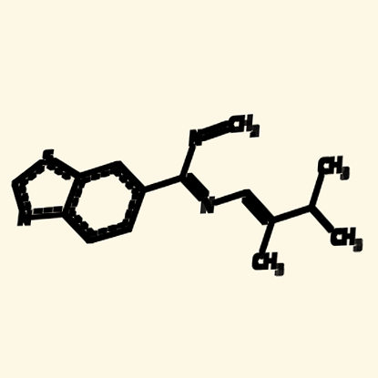 C=N/C(=N\C=C(/C)C(C)C)c1ccc2ncsc2c1